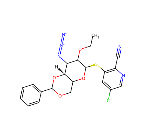 CCOC1C(N=[N+]=[N-])[C@H]2OC(c3ccccc3)OCC2O[C@@H]1Sc1cc(Cl)cnc1C#N